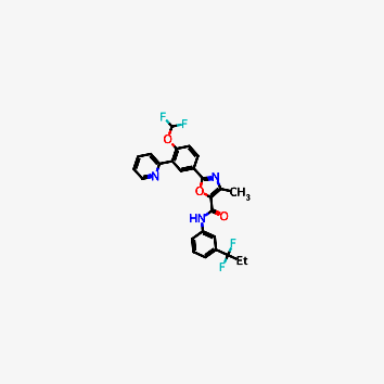 CCC(F)(F)c1cccc(NC(=O)c2oc(-c3ccc(OC(F)F)c(-c4ccccn4)c3)nc2C)c1